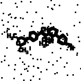 C=Nc1c(/C(O)=C(\C)c2ccc(N3C[C@@H](C)O[C@@H](C)C3)cc2)cccc1-c1ccc(C#N)cc1